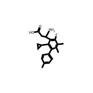 Cc1ccc(-c2c(C)c(C)c(F)c(C(N)CC(=O)O)c2C2CC2)cc1